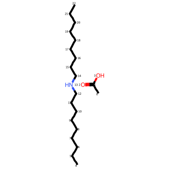 CC(=O)O.CCCCCCCCCNCCCCCCCCC